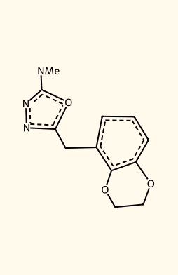 CNc1nnc(Cc2cccc3c2OCCO3)o1